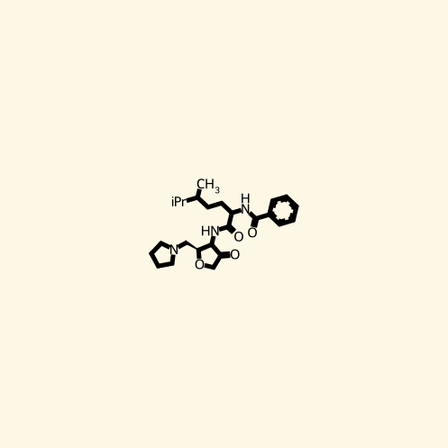 CC(C)C(C)CCC(NC(=O)c1ccccc1)C(=O)NC1C(=O)CO[C@H]1CN1CCCC1